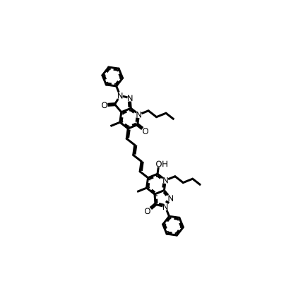 CCCCn1c2nn(-c3ccccc3)c(=O)c-2c(C)c(C=CC=CC=c2c(C)c3c(n(CCCC)c2=O)=NN(c2ccccc2)C3=O)c1O